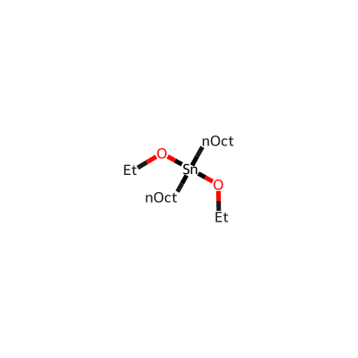 CCCCCCC[CH2][Sn]([CH2]CCCCCCC)([O]CC)[O]CC